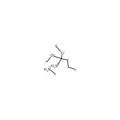 CCCC([SiH3])(OC)OC.CN